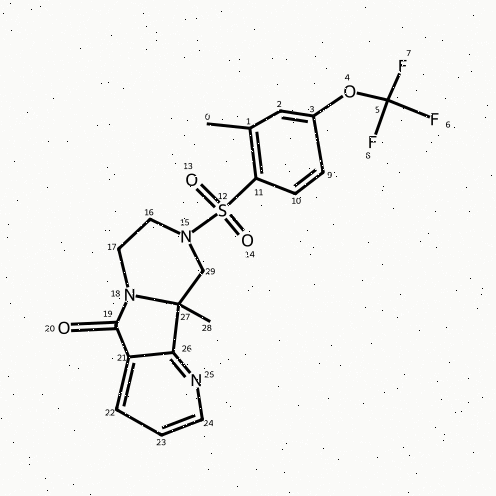 Cc1cc(OC(F)(F)F)ccc1S(=O)(=O)N1CCN2C(=O)c3cccnc3C2(C)C1